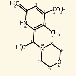 C=C1C=C(C(=O)O)C(C)=C(C(C)N2CCOCC2)N1